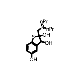 CCCN(CCC)CC1(O)Sc2ccc(O)cc2C1O